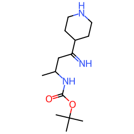 CC(CC(=N)C1CCNCC1)NC(=O)OC(C)(C)C